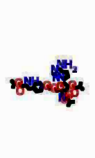 CC(C)OC(=O)[C@@H](N)Cc1ccc(OCOC[C@@]2(C#N)O[C@@H](c3ccc4c(N)ncnn34)[C@H](OC(=O)C(C)C)[C@@H]2OC(=O)C(C)C)cc1